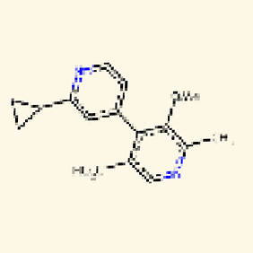 COc1c(C)ncc(C(=O)O)c1-c1ccnc(C2CC2)c1